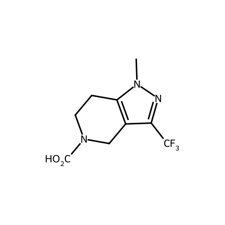 Cn1nc(C(F)(F)F)c2c1CCN(C(=O)O)C2